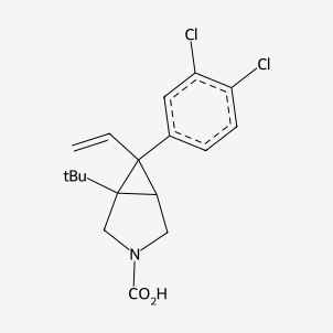 C=CC1(c2ccc(Cl)c(Cl)c2)C2CN(C(=O)O)CC21C(C)(C)C